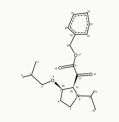 CC(C)CO[C@@H]1CCN(C(C)C)[C@@H]1C(=O)C(=O)OCc1ccccc1